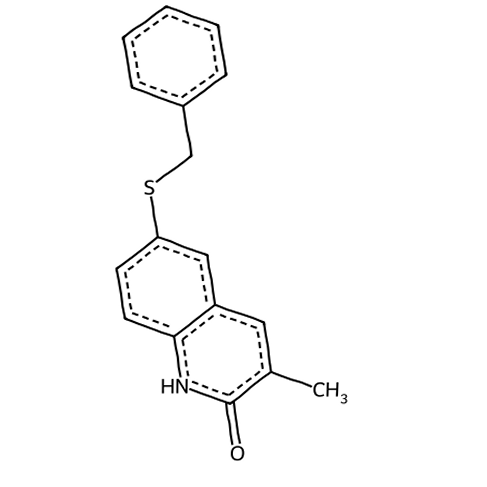 Cc1cc2cc(SCc3ccccc3)ccc2[nH]c1=O